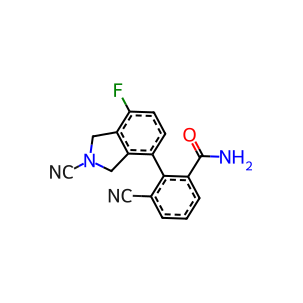 N#Cc1cccc(C(N)=O)c1-c1ccc(F)c2c1CN(C#N)C2